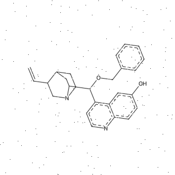 C=CC1CN2CCC1CC2C(OCc1ccccc1)c1ccnc2ccc(O)cc12